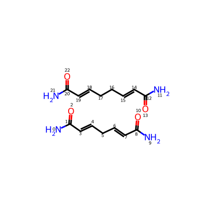 NC(=O)C=CCC=CC(N)=O.NC(=O)C=CCCC=CC(N)=O